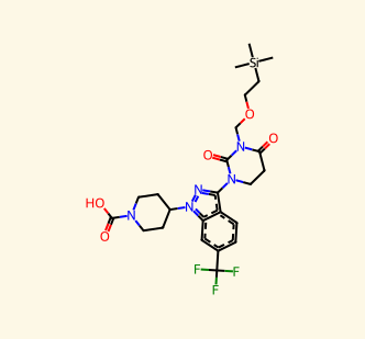 C[Si](C)(C)CCOCN1C(=O)CCN(c2nn(C3CCN(C(=O)O)CC3)c3cc(C(F)(F)F)ccc23)C1=O